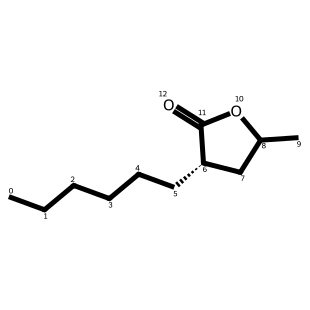 CCCCCC[C@H]1CC(C)OC1=O